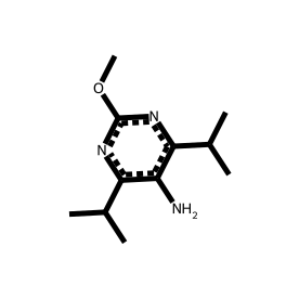 COc1nc(C(C)C)c(N)c(C(C)C)n1